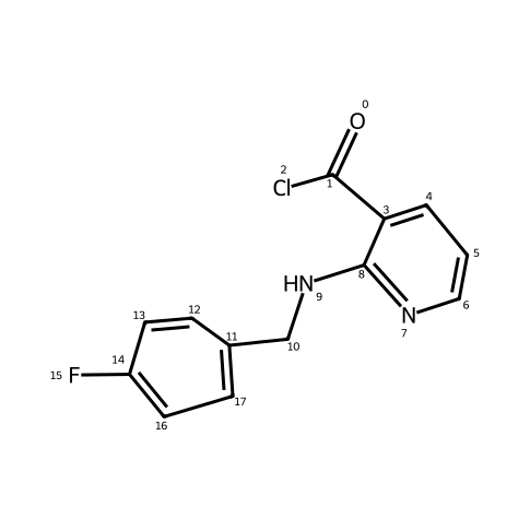 O=C(Cl)c1cccnc1NCc1ccc(F)cc1